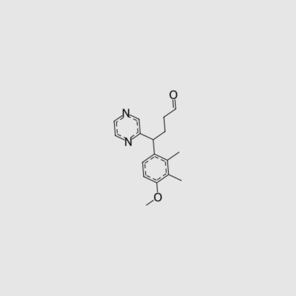 COc1ccc(C(CCC=O)c2cnccn2)c(C)c1C